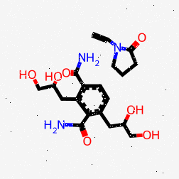 C=CN1CCCC1=O.NC(=O)c1ccc(CC(O)CO)c(C(N)=O)c1CC(O)CO